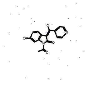 CC(=O)N1C(=O)/C(=C(/Cl)c2ccncc2)c2ccc(Cl)cc21